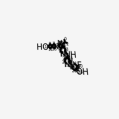 CC(C)n1nc(N2CC3(CC(O)C3)C2)c2cnc(Nc3ccnc(N4CC[C@H](O)[C@H](F)C4)n3)cc21